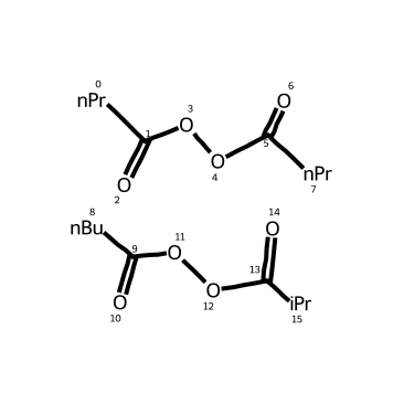 CCCC(=O)OOC(=O)CCC.CCCCC(=O)OOC(=O)C(C)C